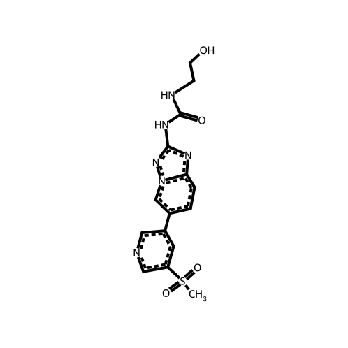 CS(=O)(=O)c1cncc(-c2ccc3nc(NC(=O)NCCO)nn3c2)c1